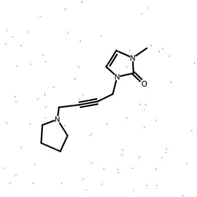 Cn1ccn(CC#CCN2CCCC2)c1=O